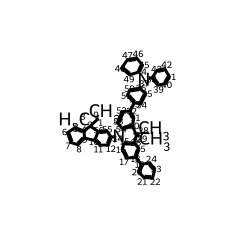 CCC1(C)c2ccccc2-c2ccc(N3c4ccc(-c5ccccc5)cc4C(C)(C)c4cc(-c5ccc(N(c6ccccc6)c6ccccc6)cc5)ccc43)cc21